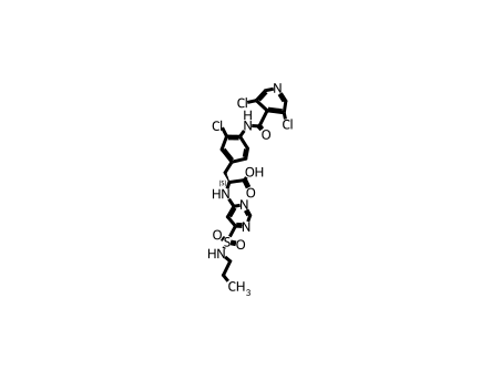 CCCNS(=O)(=O)c1cc(N[C@@H](Cc2ccc(NC(=O)c3c(Cl)cncc3Cl)c(Cl)c2)C(=O)O)ncn1